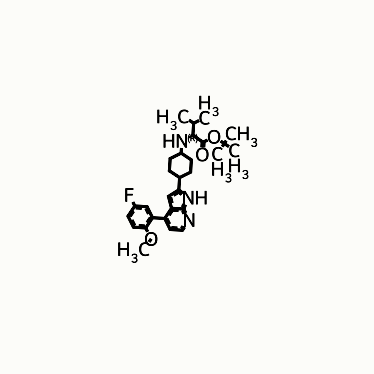 COc1ccc(F)cc1-c1ccnc2[nH]c(C3CCC(N[C@@H](C(=O)OC(C)(C)C)C(C)C)CC3)cc12